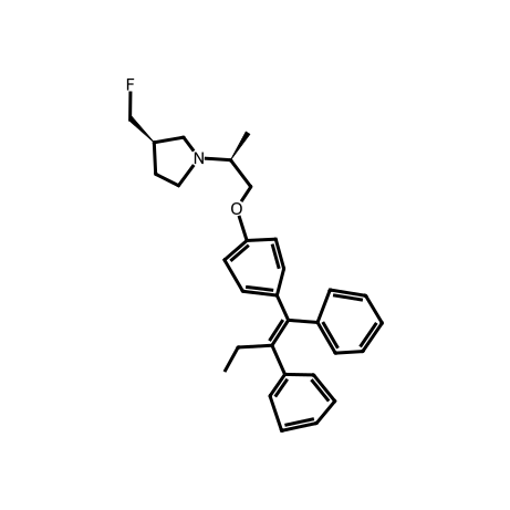 CCC(=C(c1ccccc1)c1ccc(OC[C@H](C)N2CC[C@@H](CF)C2)cc1)c1ccccc1